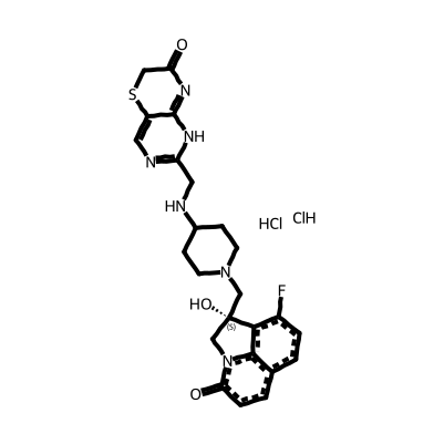 Cl.Cl.O=C1CSC2=CN=C(CNC3CCN(C[C@]4(O)Cn5c(=O)ccc6ccc(F)c4c65)CC3)NC2=N1